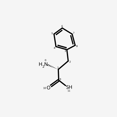 N[C@H](Cc1ccccc1)C(=O)S